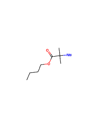 CCCCOC(=O)C(C)(C)[NH]